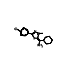 CN1N=C(c2ccc(Cl)cc2)S/C1=C(\N)C1CCCCC1